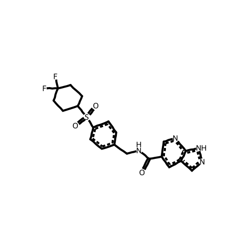 O=C(NCc1ccc(S(=O)(=O)C2CCC(F)(F)CC2)cc1)c1cnc2[nH]ncc2c1